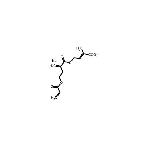 C=CC(=O)OCCC(=C)C(=O)OCC=C(C)C(=O)[O-].[Na+]